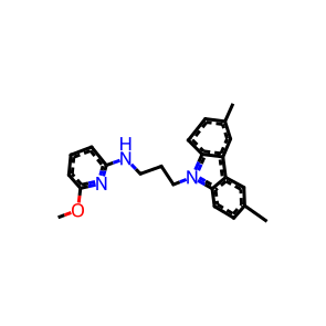 COc1cccc(NCCCn2c3ccc(C)cc3c3cc(C)ccc32)n1